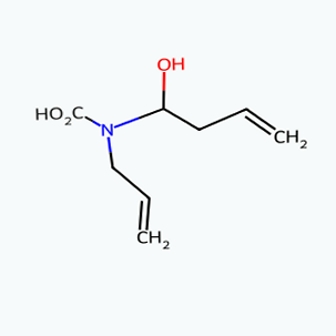 C=CCC(O)N(CC=C)C(=O)O